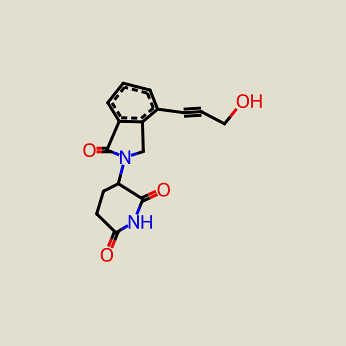 O=C1CCC(N2Cc3c(C#CCO)cccc3C2=O)C(=O)N1